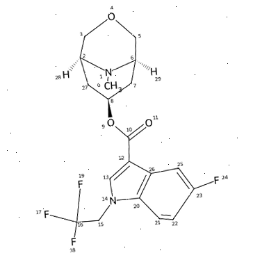 CN1[C@@H]2COC[C@H]1C[C@@H](OC(=O)c1cn(CC(F)(F)F)c3ccc(F)cc13)C2